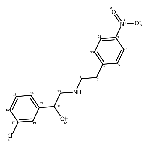 O=[N+]([O-])c1ccc(CCNCC(O)c2cccc(Cl)c2)cc1